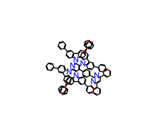 c1ccc(-c2ccc3c(c2)c2cc(-c4ccccc4)ccc2n3-c2nc(-n3c4ccc(-c5ccccc5)cc4c4cc(-c5ccccc5)ccc43)c(-n3c4ccc(-c5ccccc5)cc4c4cc(-c5ccccc5)ccc43)c(-c3ccc(-c4nc(-c5ccccc5)cc(-c5ccccc5)n4)cc3)c2-n2c3ccc(-c4ccccc4)cc3c3cc(-c4ccccc4)ccc32)cc1